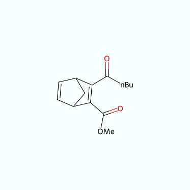 CCCCC(=O)C1=C(C(=O)OC)C2C=CC1C2